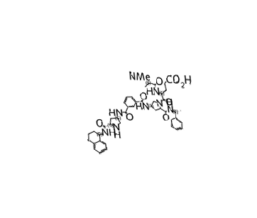 CN[C@@H](C)C(=O)N[C@@H](CCC(=O)O)C(=O)N1C[C@@H](NC(=O)c2cccc(C(=O)N[C@@H]3CN[C@H](C(=O)N[C@@H]4CCCc5ccccc54)C3)c2)CC1C(=O)N[C@H](C)c1ccccc1